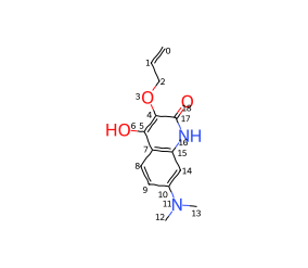 C=CCOc1c(O)c2ccc(N(C)C)cc2[nH]c1=O